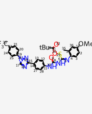 COc1ccc(N=C(NC(=O)Nc2ccc(-c3ncn(-c4ccc(C(F)(F)F)cc4)n3)cc2)SOC(=O)C(C)(C)C)c(C)c1